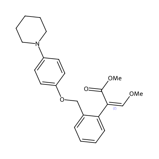 CO/C=C(\C(=O)OC)c1ccccc1COc1ccc(N2CCCCC2)cc1